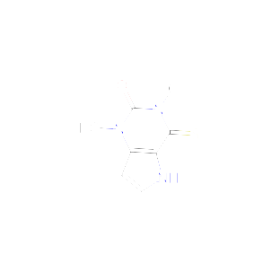 Cn1c(=S)c2[nH]ccc2n(C)c1=O